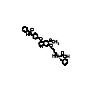 COc1cc2c(Oc3ccc(NC(=O)c4ccccc4)cc3)ccnc2cc1OCCCCN[C@@H](Cc1ccccc1)C(=O)O